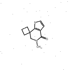 CN1CC2(CCC2)c2sccc2C1=O